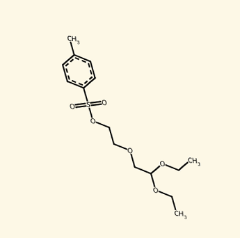 CCOC(COCCOS(=O)(=O)c1ccc(C)cc1)OCC